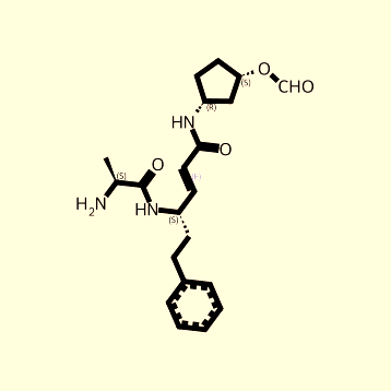 C[C@H](N)C(=O)N[C@H](/C=C/C(=O)N[C@@H]1CC[C@H](OC=O)C1)CCc1ccccc1